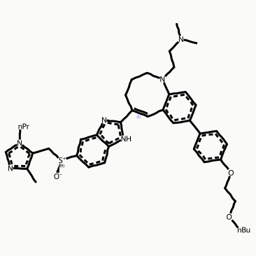 CCCCOCCOc1ccc(-c2ccc3c(c2)/C=C(/c2nc4cc([S@@+]([O-])Cc5c(C)ncn5CCC)ccc4[nH]2)CCCN3CCN(C)C)cc1